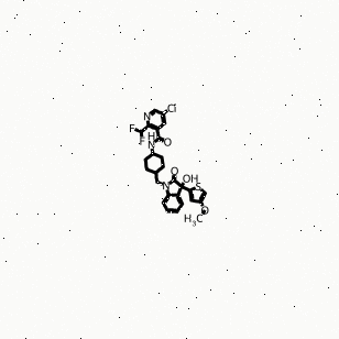 COc1csc(C2(O)C(=O)N(CC3CCC(NC(=O)c4cc(Cl)cnc4C(F)F)CC3)c3ccccc32)c1